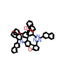 c1ccc(-c2cc(-c3ccccc3)cc(-c3cc4c(cc3-n3c5cc6ccccc6cc5c5c6ccccc6ccc53)oc3cccc(-c5nc(-c6ccc7ccccc7c6)nc(-c6ccc7oc8ccccc8c7c6)n5)c34)c2)cc1